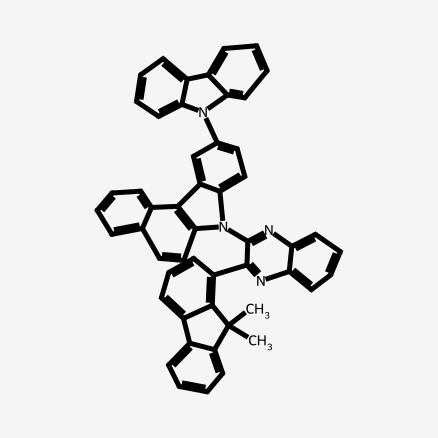 CC1(C)c2ccccc2-c2cccc(-c3nc4ccccc4nc3-n3c4ccc(-n5c6ccccc6c6ccccc65)cc4c4c5ccccc5ccc43)c21